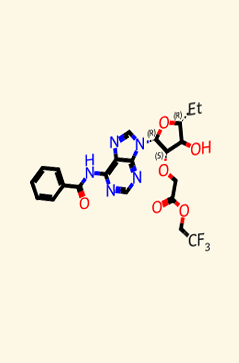 CC[C@H]1O[C@@H](n2cnc3c(NC(=O)c4ccccc4)ncnc32)[C@@H](OCC(=O)OCC(F)(F)F)C1O